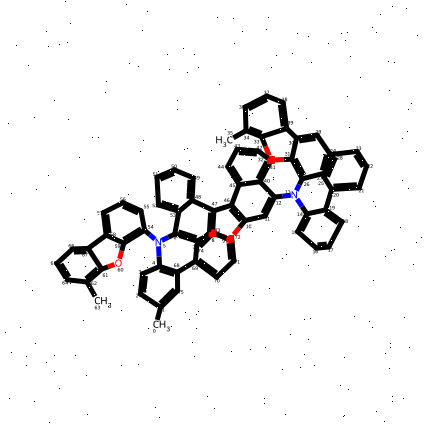 Cc1ccc(N(c2cc3oc4cc(N(c5ccccc5-c5ccccc5)c5cccc6c5oc5c(C)cccc56)c5ccccc5c4c3c3ccccc23)c2cccc3c2oc2c(C)cccc23)c(-c2ccccc2)c1